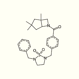 CC1(C)CC2N(C(=O)c3ccc(CN4CCN(Cc5ccccc5)S4(=O)=O)cc3)CC2(C)C1